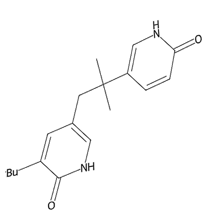 CC(C)(C)c1cc(CC(C)(C)c2ccc(=O)[nH]c2)c[nH]c1=O